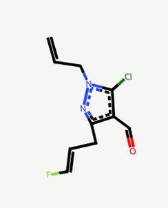 C=CCn1nc(CC=CF)c(C=O)c1Cl